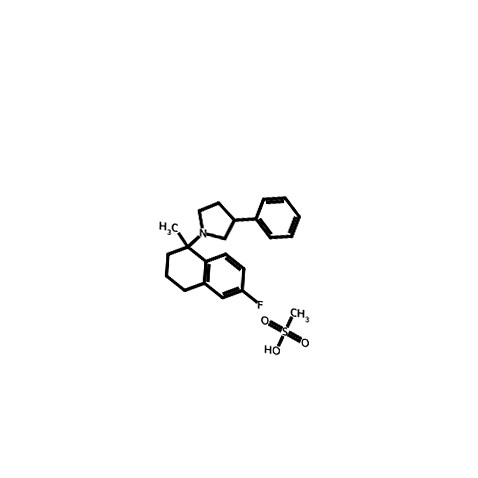 CC1(N2CCC(c3ccccc3)C2)CCCc2cc(F)ccc21.CS(=O)(=O)O